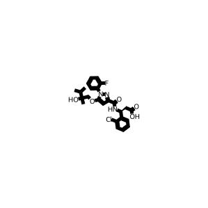 CC(C)C(C)(O)COc1cc(C(=O)N[C@@H](CC(=O)O)c2ccccc2Cl)nn1-c1ccccc1F